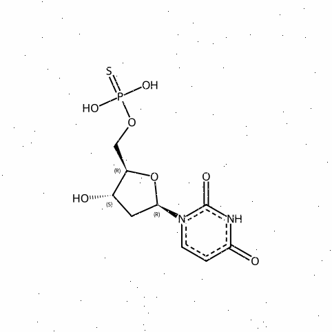 O=c1ccn([C@H]2C[C@H](O)[C@@H](COP(O)(O)=S)O2)c(=O)[nH]1